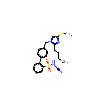 CCCCc1nc(SC)cn1Cc1ccc(-c2ccccc2S(=O)(=O)NC#N)cc1